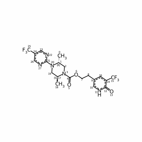 C[C@@H]1CN(C(=O)OCCc2c[nH]c(=O)c(C(F)(F)F)c2)[C@@H](C)CN1c1ncc(C(F)(F)F)cn1